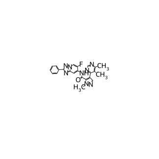 Cc1ncnc(-c2cnn(C)c2C(=O)Nc2cc3nc(-c4ccccc4)nn3cc2F)c1C